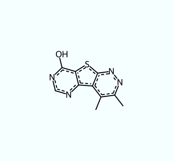 Cc1nnc2sc3c(O)ncnc3c2c1C